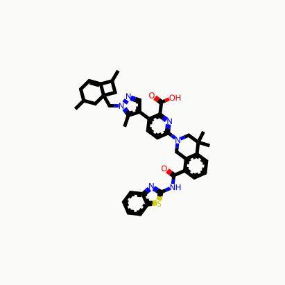 Cc1c(-c2ccc(N3Cc4c(C(=O)Nc5nc6ccccc6s5)cccc4C(C)(C)C3)nc2C(=O)O)cnn1CC12CC(C)CC=C1C(C)C2